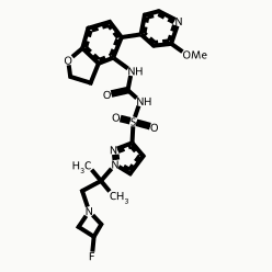 COc1cc(-c2ccc3c(c2NC(=O)NS(=O)(=O)c2ccn(C(C)(C)CN4CC(F)C4)n2)CCO3)ccn1